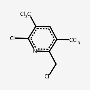 ClCc1nc(Cl)c(C(Cl)(Cl)Cl)cc1C(Cl)(Cl)Cl